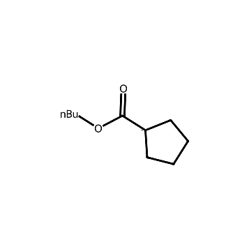 CCCCOC(=O)[C]1CCCC1